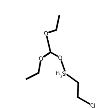 CCOC(OCC)O[SiH2]CCCl